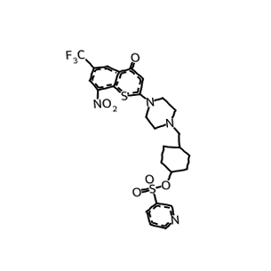 O=c1cc(N2CCN(CC3CCC(OS(=O)(=O)c4cccnc4)CC3)CC2)sc2c([N+](=O)[O-])cc(C(F)(F)F)cc12